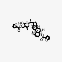 CC1=C(COC(=O)c2ccco2)C(O)O[C@@H]([C@@H](C)[C@H]2CC[C@H]3[C@@H]4C[C@H]5O[C@]56[C@@H](OC(=O)c5ccco5)C=CC(=O)[C@]6(C)[C@H]4CC[C@]23C)C1